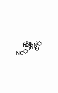 CCCC[C@H]1CN(c2ccccc2C)C(=O)CN1C(Cc1ccc(C#N)cc1)c1cnc[nH]1